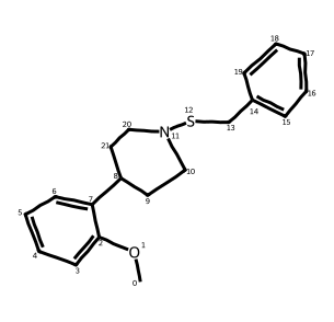 COc1ccccc1C1CCN(SCc2ccccc2)CC1